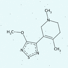 COc1nsnc1C1=C(C)CCN(C)C1